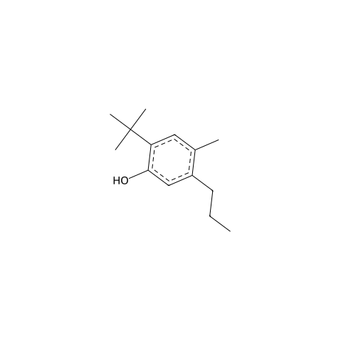 CCCc1cc(O)c(C(C)(C)C)cc1C